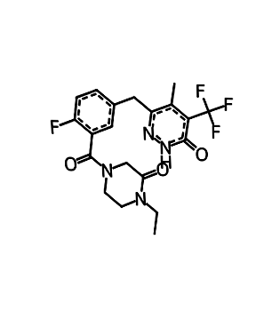 CCN1CCN(C(=O)c2cc(Cc3n[nH]c(=O)c(C(F)(F)F)c3C)ccc2F)CC1=O